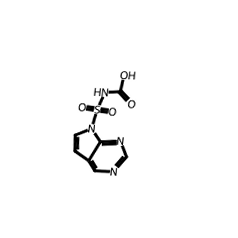 O=C(O)NS(=O)(=O)n1ccc2cncnc21